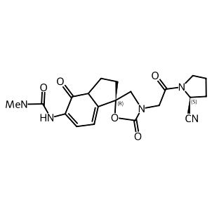 CNC(=O)NC1=CC=C2C(CC[C@]23CN(CC(=O)N2CCC[C@H]2C#N)C(=O)O3)C1=O